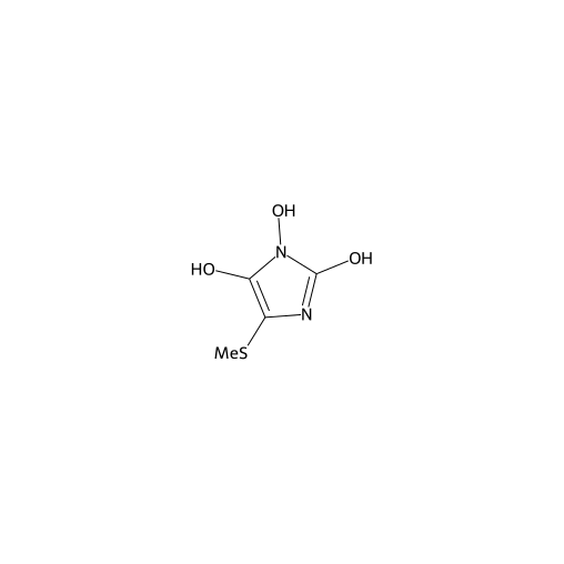 CSc1nc(O)n(O)c1O